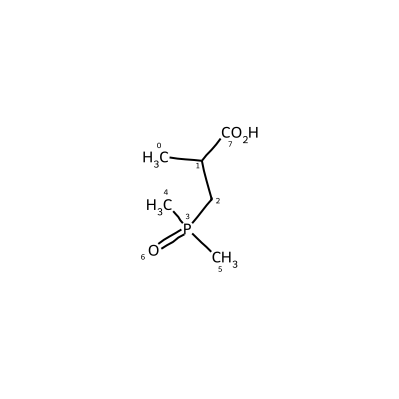 CC(CP(C)(C)=O)C(=O)O